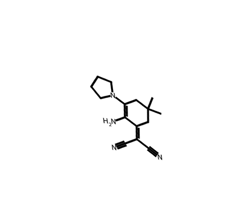 CC1(C)CC(=C(C#N)C#N)C(N)=C(N2CCCC2)C1